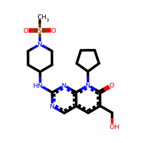 CS(=O)(=O)N1CCC(Nc2ncc3cc(CO)c(=O)n(C4CCCC4)c3n2)CC1